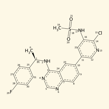 C[C@@H](Nc1ncnc2ccc(-c3cnc(Cl)c(NS(C)(=O)=O)c3)cc12)c1ccc(F)cc1